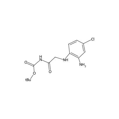 CC(C)(C)OC(=O)NC(=O)CNc1ccc(Cl)cc1N